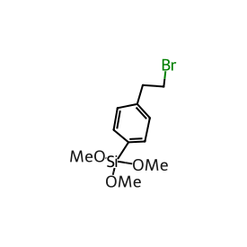 CO[Si](OC)(OC)c1ccc(CCBr)cc1